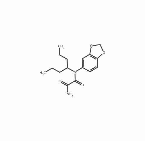 CCCC(CCC)N(C(=O)C(N)=O)c1ccc2c(c1)OCO2